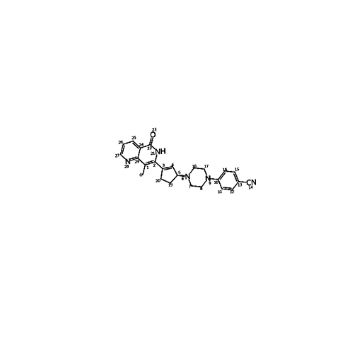 Cc1c(C2=C[C@@H](N3CCN(c4ccc(C#N)cc4)CC3)CC2)[nH]c(=O)c2cccnc12